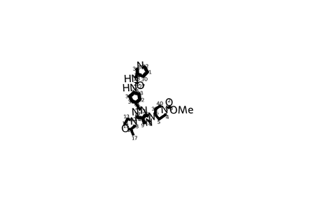 COC(=O)N1CCC(n2ncc3c(N4CCOC(C)C4)nc(-c4ccc(NC(=O)Nc5cccnc5)cc4)nc32)CC1